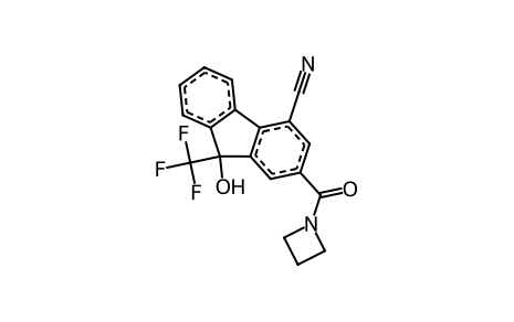 N#Cc1cc(C(=O)N2CCC2)cc2c1-c1ccccc1C2(O)C(F)(F)F